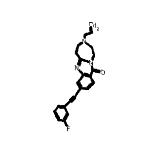 C=CCN1CCc2nc3cc(C#Cc4cccc(F)c4)ccc3c(=O)n2CC1